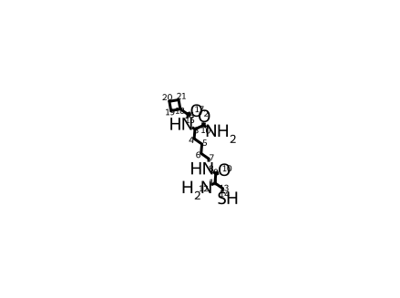 NC(=O)C(CCCCNC(=O)C(N)CS)NC(=O)C1CCC1